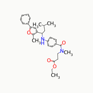 CCOC(=O)CCN(C)C(=O)c1ccc(NC(CC(C)C)c2cc(-c3ccccc3)oc2C)cc1